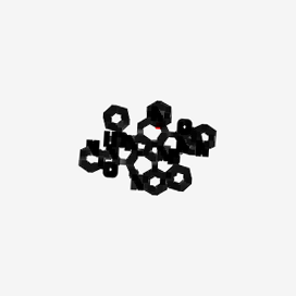 Cc1ccccc1-c1c2/c(=C(\C#N)c3nc4ncccc4o3)n(Bc3ccccc3)c(Cc3ccccc3)c2/c(=C(\C#N)c2nc3ncccc3o2)n1B(c1ccccc1)c1ccccc1